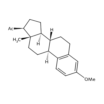 COc1ccc2c(c1)CC[C@@H]1[C@@H]2CC[C@]2(C)[C@@H](C(C)=O)CC[C@@H]12